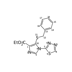 CCOC(=O)c1ncn(-c2nncs2)c1SCc1ccccc1